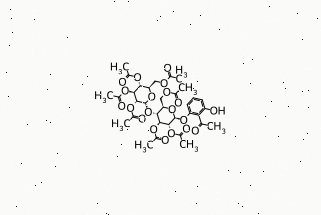 CC(=O)OC[C@H]1O[C@@H](O[C@H]2[C@H](OC(C)=O)[C@@H](OC(C)=O)[C@H](Oc3cccc(O)c3C(C)=O)O[C@@H]2COC(C)=O)[C@H](OC(C)=O)[C@@H](OC(C)=O)[C@@H]1OC(C)=O